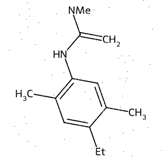 C=C(NC)Nc1cc(C)c(CC)cc1C